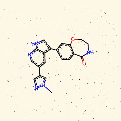 Cn1cc(-c2cnc3[nH]cc(-c4ccc5c(c4)OCCNC5=O)c3c2)cn1